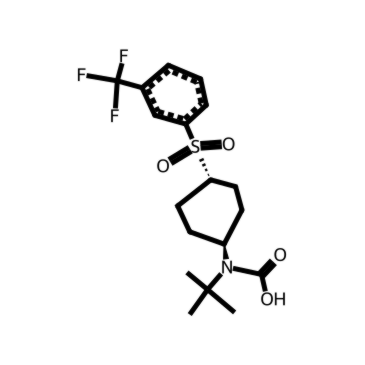 CC(C)(C)N(C(=O)O)[C@H]1CC[C@H](S(=O)(=O)c2cccc(C(F)(F)F)c2)CC1